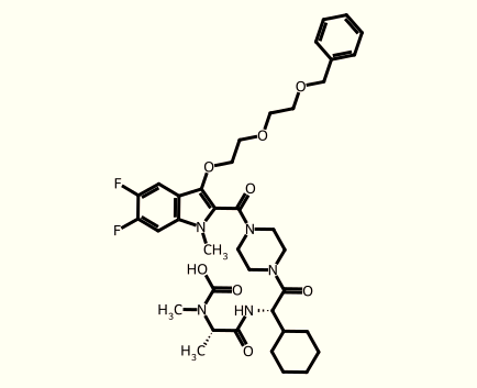 C[C@@H](C(=O)N[C@H](C(=O)N1CCN(C(=O)c2c(OCCOCCOCc3ccccc3)c3cc(F)c(F)cc3n2C)CC1)C1CCCCC1)N(C)C(=O)O